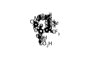 CCCCCOC(=O)COc1cc(N2C(=O)C3=C(CCCC3)C2=O)c(F)cc1Cl.COc1nc(C)nc(NC(=O)NS(=O)(=O)c2ccccc2CCC(F)(F)F)n1.C[S+](C)C.O=C(O)CNCP(=O)([O-])O